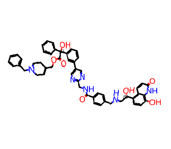 O=C(NCc1ncc(-c2cccc([C@](O)(C(=O)OCC3CCN(Cc4ccccc4)CC3)c3ccccc3)c2)cn1)c1ccc(CNC[C@H](O)c2ccc(O)c3[nH]c(=O)ccc23)cc1